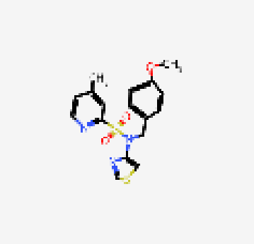 COc1ccc(CN(c2cscn2)S(=O)(=O)c2cc(C)ccn2)cc1